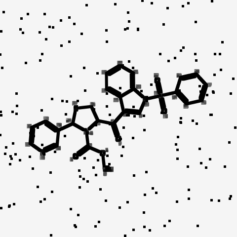 CC(C)(C)OC(=O)N1C(C(=O)c2cn(S(=O)(=O)c3ccccc3)c3ccccc23)CSC1c1cccnc1